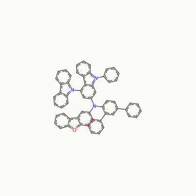 c1ccc(-c2ccc(N(c3ccc4oc5ccccc5c4c3)c3cc(-n4c5ccccc5c5ccccc54)c4c5ccccc5n(-c5ccccc5)c4c3)c(-c3ccccc3)c2)cc1